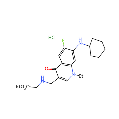 CCOC(=O)CNCc1cn(CC)c2cc(NC3CCCCC3)c(F)cc2c1=O.Cl